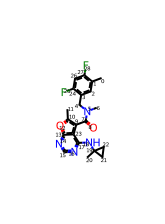 Cc1cc(CN(C)C(=O)c2c(C)oc3ncnc(NC4(C)CC4)c23)c(F)cc1F